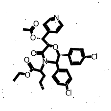 CCCC(C(=O)OCC)N1C(=O)C([C@H](OC(C)=O)c2ccncc2)O[C@@H](c2ccc(Cl)cc2)C1c1ccc(Cl)cc1